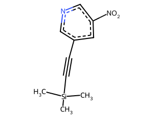 C[Si](C)(C)C#Cc1cncc([N+](=O)[O-])c1